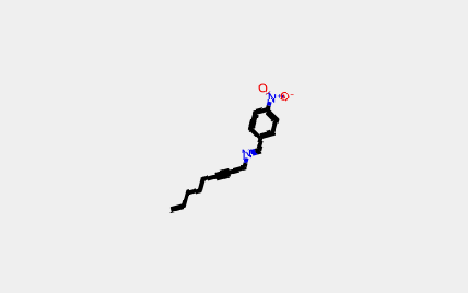 CCCCCC#CCN=Cc1ccc([N+](=O)[O-])cc1